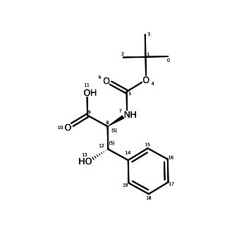 CC(C)(C)OC(=O)N[C@H](C(=O)O)[C@@H](O)c1ccccc1